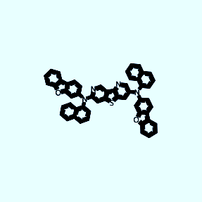 c1ccc2c(N(c3ccc4c(c3)oc3ccccc34)c3cnc4c(c3)sc3cc(N(c5ccc6c(c5)oc5ccccc56)c5cccc6ccccc56)ncc34)cccc2c1